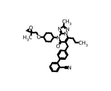 CCCc1c(Cc2ccc(-c3ccccc3C#N)cc2)c(=O)n(C2CCC(OCC3(C)CO3)CC2)c2nc(C)nn12